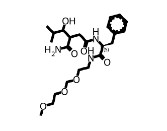 COCCOCOCCNC(=O)[C@H](Cc1ccccc1)NC(=O)CC(C(N)=O)C(O)C(C)C